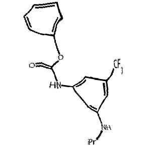 CC(C)Nc1cc(NC(=O)Oc2ccccc2)cc(C(F)(F)F)c1